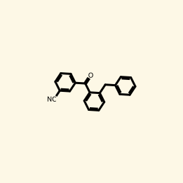 N#Cc1cccc(C(=O)c2ccccc2Cc2ccccc2)c1